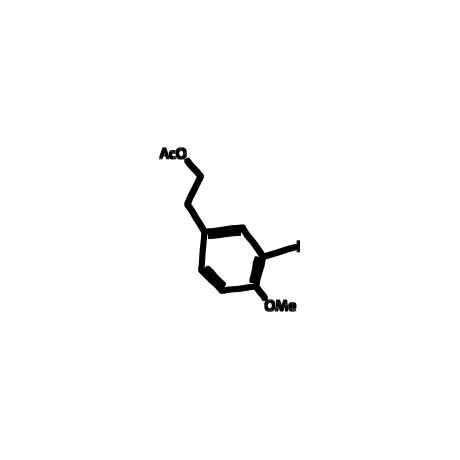 COc1ccc(CCOC(C)=O)cc1I